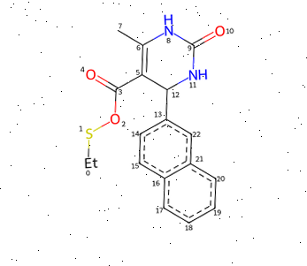 CCSOC(=O)C1=C(C)NC(=O)NC1c1ccc2ccccc2c1